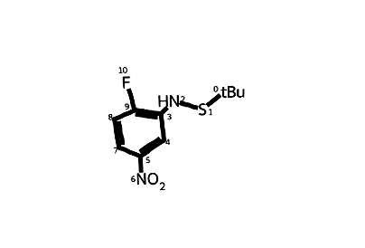 CC(C)(C)SNc1cc([N+](=O)[O-])ccc1F